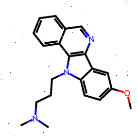 COc1ccc2c(c1)c1ncc3ccccc3c1n2CCCN(C)C